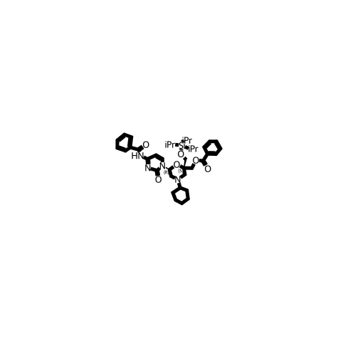 CC(C)[Si](OC[C@@]1(COC(=O)c2ccccc2)CN(C2CCCCC2)C[C@H](n2ccc(NC(=O)c3ccccc3)nc2=O)O1)(C(C)C)C(C)C